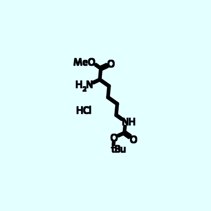 COC(=O)C(N)CCCCNC(=O)OC(C)(C)C.Cl